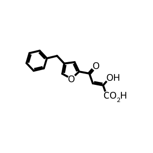 O=C(O)C(O)=CC(=O)c1cc(Cc2ccccc2)co1